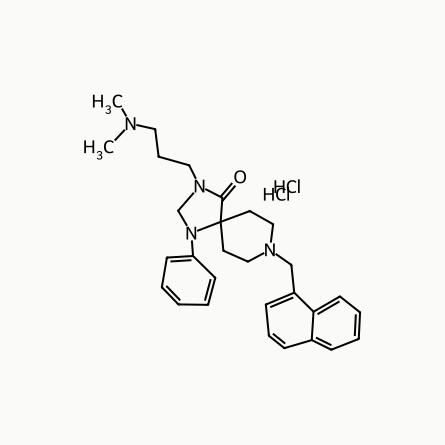 CN(C)CCCN1CN(c2ccccc2)C2(CCN(Cc3cccc4ccccc34)CC2)C1=O.Cl.Cl